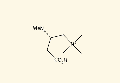 CN[C@@H](CC(=O)O)C[N+](C)(C)C